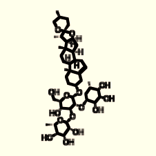 C[C@H]1CC[C@@]2(OC1)O[C@H]1C[C@H]3[C@@H]4CC=C5C[C@@H](O[C@@H]6O[C@H](CO)[C@@H](O)[C@H](O[C@@H]7O[C@@H](C)[C@H](O)[C@@H](O)[C@H]7O)[C@H]6O[C@H]6C[C@H](C)[C@@H](O)[C@@H](O)[C@H]6O)CC[C@]5(C)[C@H]4CC[C@]3(C)[C@H]1[C@@H]2C